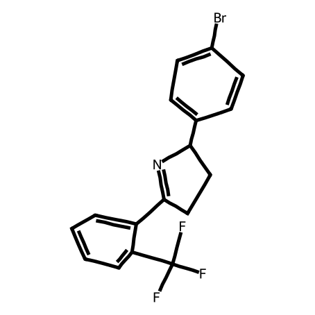 FC(F)(F)c1ccccc1C1=NC(c2ccc(Br)cc2)CC1